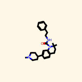 CN1CCC(c2ccc3c(c2)N(C(=O)NCCc2ccccc2)C(C)(C)CC3)CC1